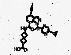 CC#Cc1ccc(C(=O)NC2CC3(C2)CC(C(=O)O)C3)c2c1cnn2[C@H](C)c1cnc(C2CC2)cn1